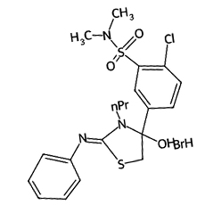 Br.CCCN1C(=Nc2ccccc2)SCC1(O)c1ccc(Cl)c(S(=O)(=O)N(C)C)c1